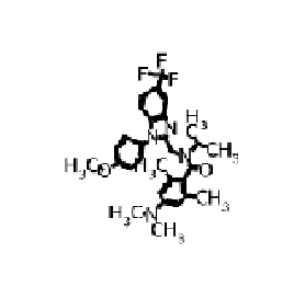 COc1ccc(-n2c(CN(C(=O)c3c(C)cc(N(C)C)cc3C)C(C)C)nc3cc(C(F)(F)F)ccc32)cc1